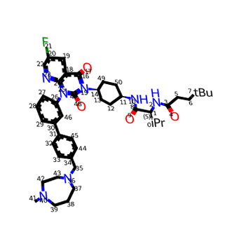 CC(C)[C@H](NC(=O)CCC(C)(C)C)C(=O)N[C@H]1CC[C@@H](n2c(=O)c3cc(F)cnc3n(-c3cccc(-c4ccc(CN5CCCN(C)CC5)cc4)c3)c2=O)CC1